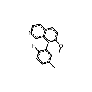 COc1ccc2ccncc2c1-c1cc(C)ccc1F